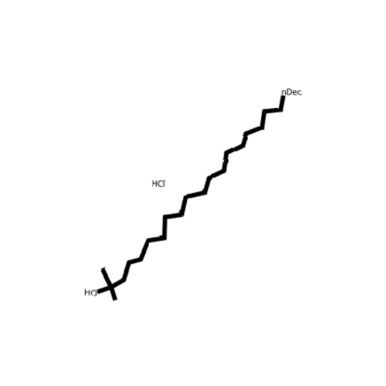 CCCCCCCCCCCCCCCCCCCCCCCCCCCC(C)(C)O.Cl